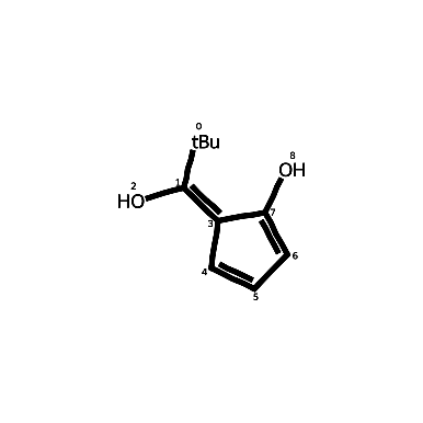 CC(C)(C)C(O)=C1C=CC=C1O